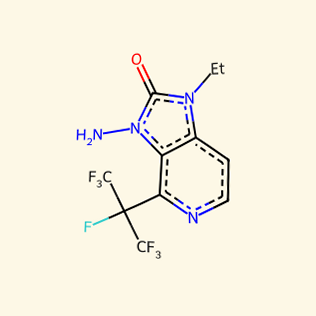 CCn1c(=O)n(N)c2c(C(F)(C(F)(F)F)C(F)(F)F)nccc21